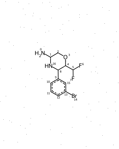 NC1COC(C(F)F)C(c2cccc(Br)c2)N1